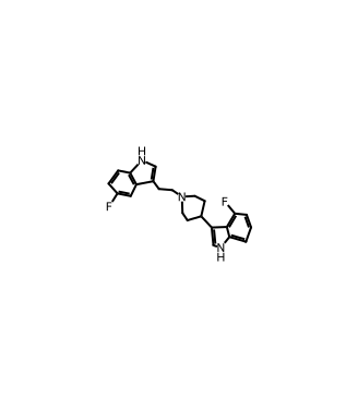 Fc1ccc2[nH]cc(CCN3CCC(c4c[nH]c5cccc(F)c45)CC3)c2c1